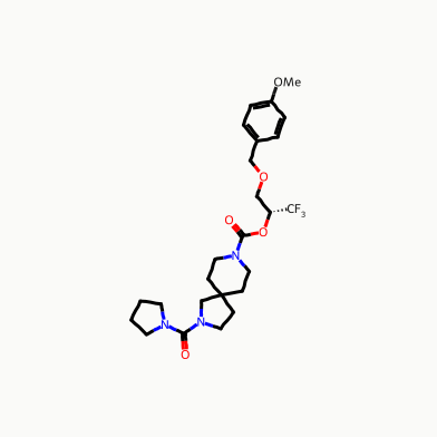 COc1ccc(COC[C@@H](OC(=O)N2CCC3(CC2)CCN(C(=O)N2CCCC2)C3)C(F)(F)F)cc1